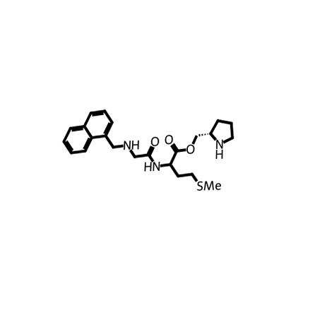 CSCCC(NC(=O)CNCc1cccc2ccccc12)C(=O)OC[C@@H]1CCCN1